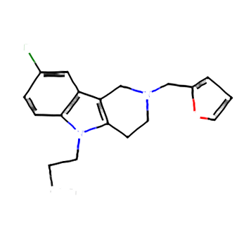 CCOC(=O)CCn1c2c(c3cc(F)ccc31)CN(Cc1ccco1)CC2